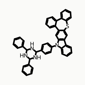 c1ccc(C2NC(c3ccccc3)NC(c3ccc(-n4c5ccccc5c5cc6c(cc54)-c4ccccc4-c4ccccc4S6)cc3)N2)cc1